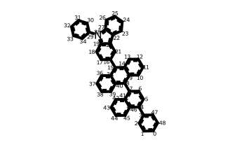 c1ccc(-c2ccc(-c3c4ccccc4c(-c4ccc5c(c4)c4ccccc4n5-c4ccccc4)c4ccccc34)c3ccccc23)cc1